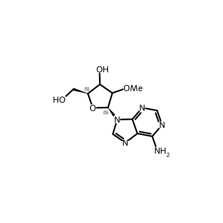 COC1C(O)[C@H](CO)O[C@@H]1n1cnc2c(N)ncnc21